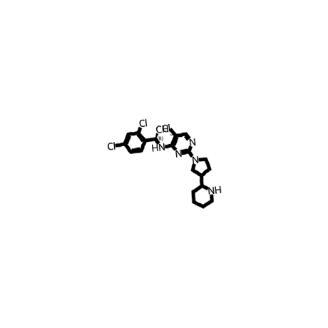 C[C@@H](Nc1nc(N2CCC(C3CCCCN3)C2)ncc1Cl)c1ccc(Cl)cc1Cl